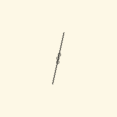 CCCCCCCCCCCCCCCCCCOCCOCCOCCCCCCCCCCCCCCCCCC